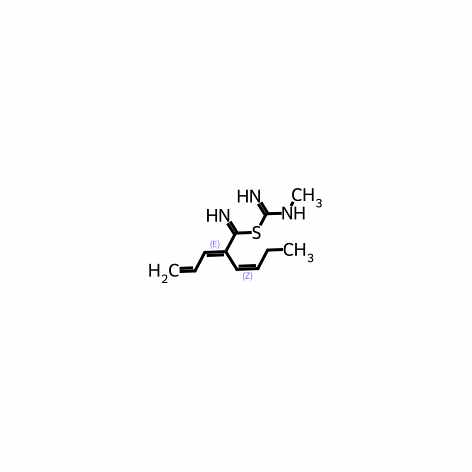 C=C/C=C(\C=C/CC)C(=N)SC(=N)NC